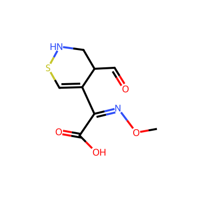 CON=C(C(=O)O)C1=CSNCC1C=O